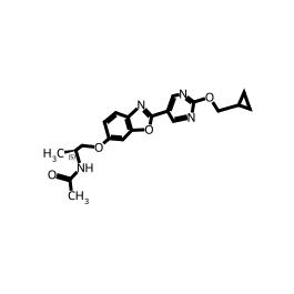 CC(=O)N[C@@H](C)COc1ccc2nc(-c3cnc(OCC4CC4)nc3)oc2c1